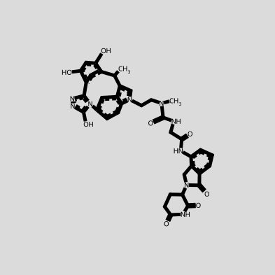 CC1c2cc(c(O)cc2O)-c2nnc(O)n2-c2ccc3c(c2)c1cn3CCN(C)C(=O)NCC(=O)Nc1cccc2c1CN(C1CCC(=O)NC1=O)C2=O